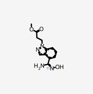 COC(=O)CCn1ncc2c(/C(N)=N\O)cccc21